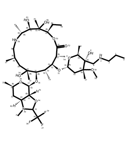 CCCNC[C@]1(O)[C@H](C)O[C@@H](O[C@H]2[C@H](C)[C@@H](O[C@@H]3O[C@H](C)C[C@H]4[C@H]3OC(C(F)(F)F)N4C)[C@](C)(O)C[C@@H](C)CN[C@H](C)[C@@H](O)[C@](C)(O)[C@@H](CC)OC(=O)[C@@H]2C)C[C@@]1(C)OC